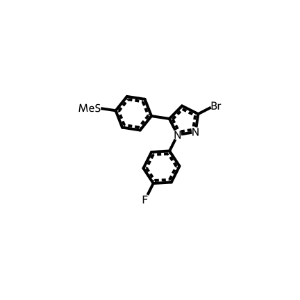 CSc1ccc(-c2cc(Br)nn2-c2ccc(F)cc2)cc1